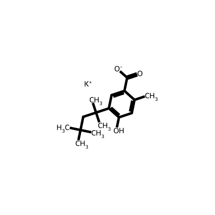 Cc1cc(O)c(C(C)(C)CC(C)(C)C)cc1C(=O)[O-].[K+]